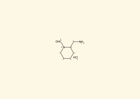 Cl.NCC1CCCCN1C=O